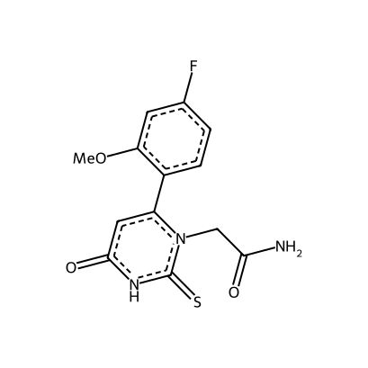 COc1cc(F)ccc1-c1cc(=O)[nH]c(=S)n1CC(N)=O